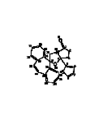 O=C1CCC2(c3cccs3)OC3(CN12)c1ccccc1C=Cc1ccccc13